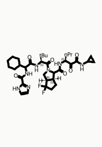 CCC[C@H](NC(=O)C1[C@H]2CCC(F)(F)[C@H]2CN1C(=O)[C@@H](NC(=O)C(NC(=O)c1ncc[nH]1)C1CCCCC1)C(C)(C)C)C(=O)C(=O)NC1CC1